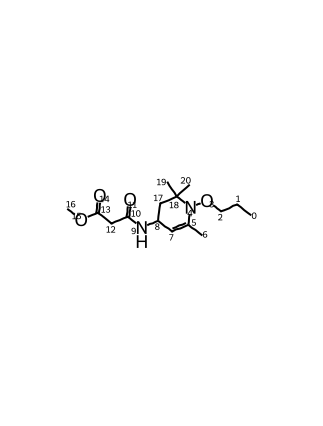 CCCON1C(C)=CC(NC(=O)CC(=O)OC)CC1(C)C